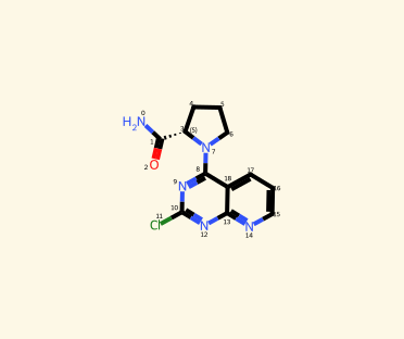 NC(=O)[C@@H]1CCCN1c1nc(Cl)nc2ncccc12